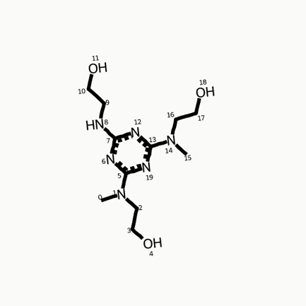 CN(CCO)c1nc(NCCO)nc(N(C)CCO)n1